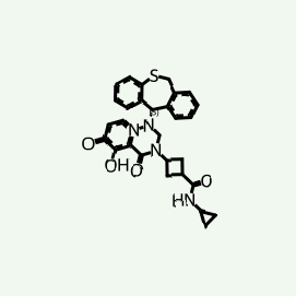 O=C(NC1CC1)C1CC(N2CN([C@H]3c4ccccc4CSc4ccccc43)n3ccc(=O)c(O)c3C2=O)C1